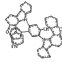 N#Cc1cccc(-c2cc(-n3c4ccccc4c4ccc5oc6ccccc6c5c43)c(C#N)cc2-n2c3ccccc3c3ccc4oc5ccccc5c4c32)c1